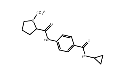 O=C(NC1CC1)c1ccc(NC(=O)C2CCCN2C(=O)O)cc1